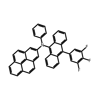 Fc1cc(-c2c3ccccc3c(N(c3ccccc3)c3cc4ccc5cccc6ccc(c3)c4c56)c3ccccc23)cc(F)c1F